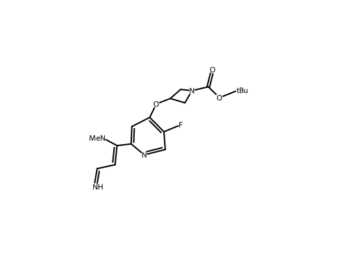 CN/C(=C\C=N)c1cc(OC2CN(C(=O)OC(C)(C)C)C2)c(F)cn1